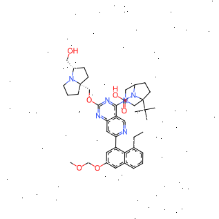 CCc1cccc2cc(OCOC)cc(-c3cc4nc(OC[C@]56CCCN5[C@H](CO)CC6)nc(N5CC6CCC(C(C)(C)C)(C5)N6C(=O)O)c4cn3)c12